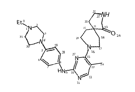 CCN1CCN(c2ccc(Nc3ncc(C)c(N4CCC5(CCNC5=O)CC4)n3)cc2)CC1